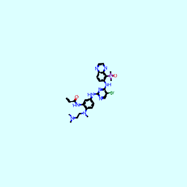 C=CC(=O)Nc1cc(Nc2ncc(Br)c(Nc3ccc4nccnc4c3P(C)(C)=O)n2)ccc1N(C)CCN(C)C